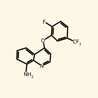 Nc1cccc2c(Oc3cc(C(F)(F)F)ccc3F)ccnc12